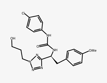 COc1ccc(C[C@H](NC(=O)Nc2ccc(Cl)cc2)c2nnn(CCCO)n2)cc1